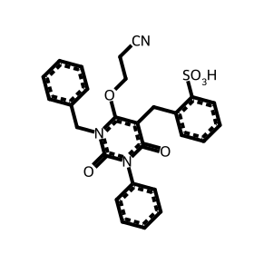 N#CCCOc1c(Cc2ccccc2S(=O)(=O)O)c(=O)n(-c2ccccc2)c(=O)n1Cc1ccccc1